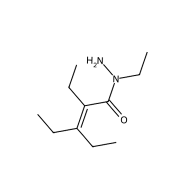 CCC(CC)=C(CC)C(=O)N(N)CC